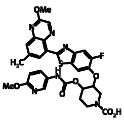 COc1ccc(NC(=O)OC2CCN(C(=O)O)CC2Oc2cc3sc(-c4cc(C)cc5nc(OC)cnc45)nc3cc2F)cn1